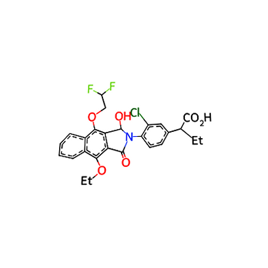 [CH2]CC(C(=O)O)c1ccc(N2C(=O)c3c(c(OCC(F)F)c4ccccc4c3OCC)C2O)c(Cl)c1